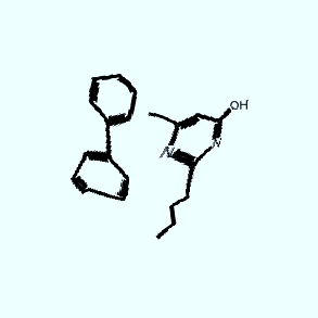 CCCCc1nc(C)cc(O)n1.c1ccc(-c2ccccc2)cc1